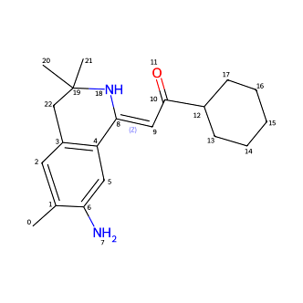 Cc1cc2c(cc1N)/C(=C/C(=O)C1CCCCC1)NC(C)(C)C2